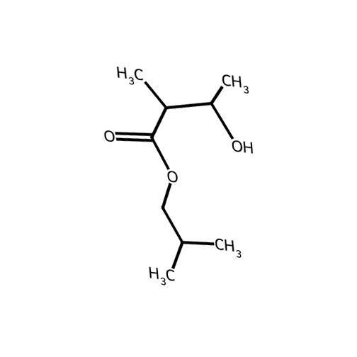 CC(C)COC(=O)C(C)C(C)O